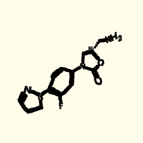 NC[C@H]1CN(c2ccc(-n3cccn3)c(F)c2)C(=O)O1